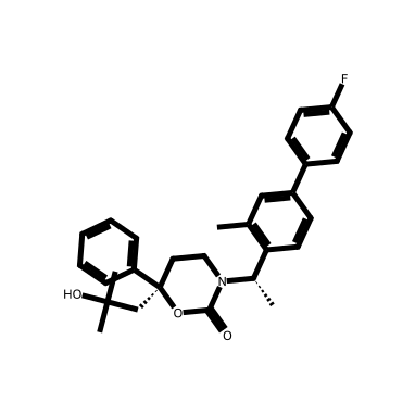 Cc1cc(-c2ccc(F)cc2)ccc1[C@H](C)N1CC[C@](CC(C)(C)O)(c2ccccc2)OC1=O